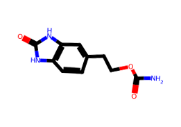 NC(=O)OCCc1ccc2[nH]c(=O)[nH]c2c1